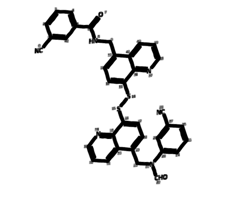 N#Cc1cccc(C(=O)NCc2ccc(SSc3ccc(CN(C=O)c4cccc(C#N)c4)c4cccnc34)c3ncccc23)c1